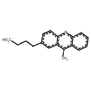 Cc1c2ccccc2nc2ccc(CCCC(=O)O)cc12